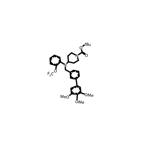 COc1cc(-c2cccc(CN(c3ccccc3OC(F)(F)F)C3CCN(C(=O)OC(C)(C)C)CC3)c2)cc(OC)c1OC